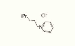 CC(C)CCC[n+]1ccccc1.[Cl-]